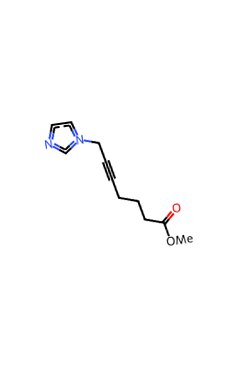 COC(=O)CCCC#CCn1ccnc1